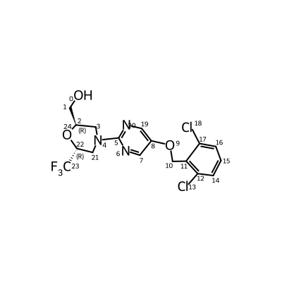 OC[C@H]1CN(c2ncc(OCc3c(Cl)cccc3Cl)cn2)C[C@H](C(F)(F)F)O1